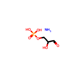 N.O=CC(O)COP(=O)(O)O